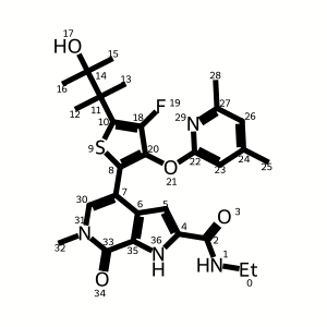 CCNC(=O)c1cc2c(-c3sc(C(C)(C)C(C)(C)O)c(F)c3Oc3cc(C)cc(C)n3)cn(C)c(=O)c2[nH]1